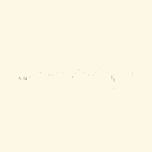 C=CC(=O)NCCCCCCNC(C)=O